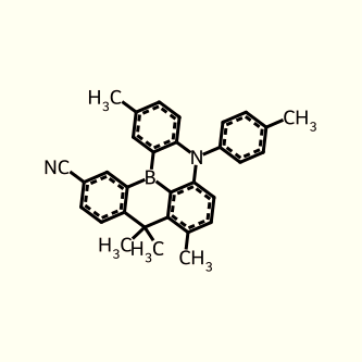 Cc1ccc(N2c3ccc(C)cc3B3c4cc(C#N)ccc4C(C)(C)c4c(C)ccc2c43)cc1